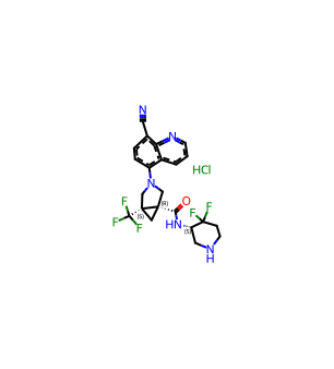 Cl.N#Cc1ccc(N2C[C@@]3(C(=O)N[C@H]4CNCCC4(F)F)C[C@@]3(C(F)(F)F)C2)c2cccnc12